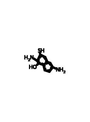 Nc1ccc2c(O)c(N)c(S)cc2c1